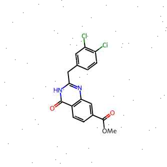 COC(=O)c1ccc2c(=O)[nH]c(Cc3ccc(Cl)c(Cl)c3)nc2c1